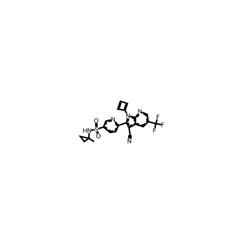 CC1(NS(=O)(=O)c2ccc(-c3c(C#N)c4cc(C(F)(F)F)cnc4n3C3=CC=C3)nc2)CC1